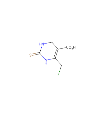 O=C(O)C1=C(CF)NC(=S)NC1